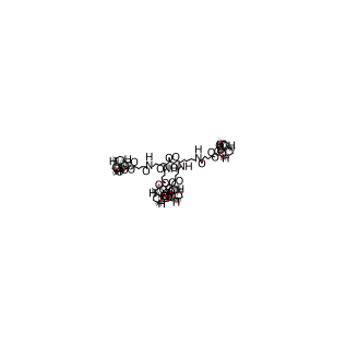 C[C@H]1[C@H](OC(=O)CCC(=O)NCCCCC(NC(=O)CCC(=O)O[C@@H]2O[C@@H]3O[C@]4(C)CC[C@H]5[C@H](C)CC[C@@H]([C@H]2C)[C@@]35OO4)C(=O)CC(=O)C(CCCCNC(=O)CCC(=O)O[C@@H]2O[C@@H]3O[C@]4(C)CC[C@H]5[C@H](C)CC[C@@H]([C@H]2C)[C@@]35OO4)NC(=O)CCC(=O)O[C@@H]2O[C@@H]3O[C@]4(C)CC[C@H]5[C@H](C)CC[C@@H]([C@H]2C)[C@@]35OO4)O[C@@H]2O[C@]3(C)CC[C@H]4[C@H](C)CC[C@@H]1[C@@]24OO3